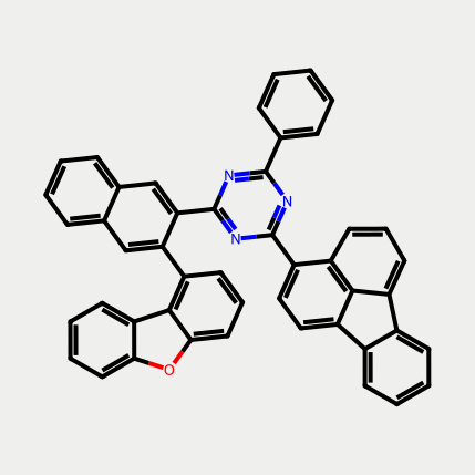 c1ccc(-c2nc(-c3cc4ccccc4cc3-c3cccc4oc5ccccc5c34)nc(-c3ccc4c5c(cccc35)-c3ccccc3-4)n2)cc1